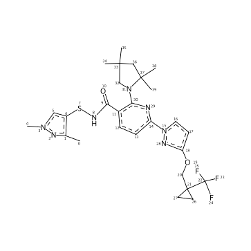 Cc1nn(C)cc1SNC(=O)c1ccc(-n2ccc(OCC3(C(F)(F)F)CC3)n2)nc1N1CC(C)(C)CC1(C)C